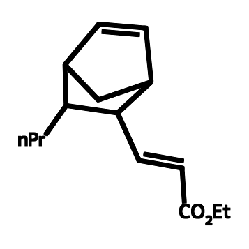 CCCC1C2C=CC(C2)C1C=CC(=O)OCC